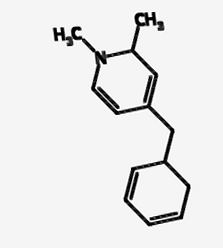 CC1C=C(CC2C=CC=CC2)C=CN1C